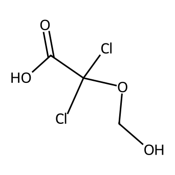 O=C(O)C(Cl)(Cl)OCO